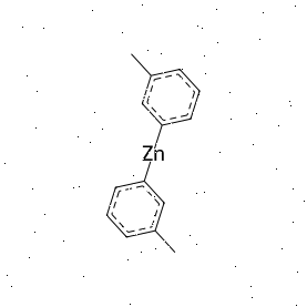 Cc1ccc[c]([Zn][c]2cccc(C)c2)c1